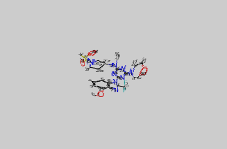 COc1cccc2c1nc(C(F)F)n2-c1nc(N2CCOCC2)nc(N(C)C2CCN(S(C)(=O)=O)C2)n1